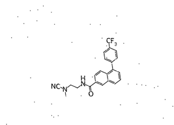 CN(C#N)CCNC(=O)c1ccc2c(-c3ccc(C(F)(F)F)cc3)cccc2c1